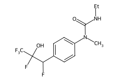 CCNC(=O)N(C)c1ccc(C(F)C(O)(F)C(F)(F)F)cc1